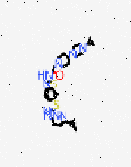 O=C(CN1CCC(N2CCN(C3CC3)CC2)CC1)Nc1nc2ccc(Sc3nnc4ccc(C5CC5)nn34)cc2s1